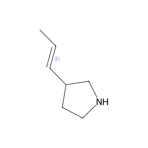 C/C=C/C1CCNC1